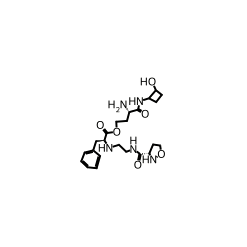 N[C@@H](CCOC(=O)[C@H](Cc1ccccc1)NCCNC(=O)[C@@H]1CCON1)C(=O)NC1CCC1O